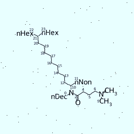 CCCCCCCCCCN(C(=O)CCCN(C)C)C(CCCCCCCCC)CCCCCCCCCC(CCCCCC)CCCCCC